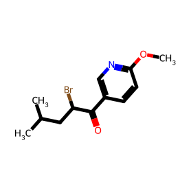 COc1ccc(C(=O)C(Br)CC(C)C)cn1